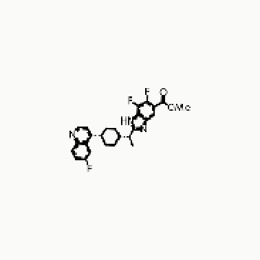 COC(=O)c1cc2nc(C(C)[C@H]3CC[C@@H](c4ccnc5ccc(F)cc54)CC3)[nH]c2c(F)c1F